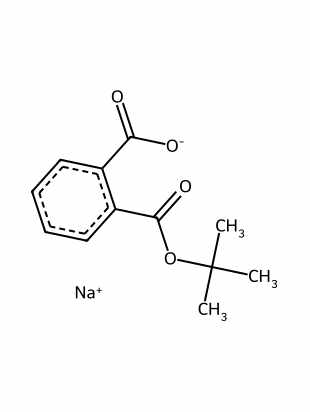 CC(C)(C)OC(=O)c1ccccc1C(=O)[O-].[Na+]